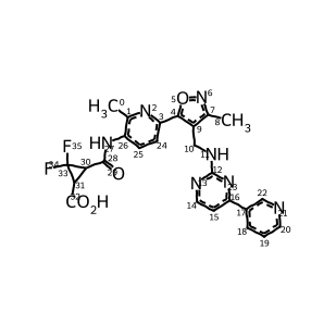 Cc1nc(-c2onc(C)c2CNc2nccc(-c3cccnc3)n2)ccc1NC(=O)C1C(C(=O)O)C1(F)F